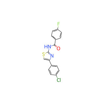 O=C(Nc1nc(-c2ccc(Cl)cc2)cs1)c1ccc(F)cc1